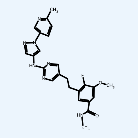 CNC(=O)c1cc(CCc2cnc(Nc3cnn(-c4ccc(C)nc4)c3)nc2)c(F)c(OC)c1